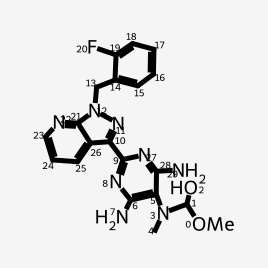 COC(O)N(C)c1c(N)nc(-c2nn(Cc3ccccc3F)c3ncccc23)nc1N